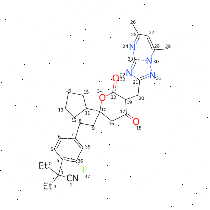 CCC(C#N)(CC)c1ccc(CCC2(C3CCCC3)CC(=O)C(Cc3nc4nc(C)cc(C)n4n3)C(=O)O2)cc1F